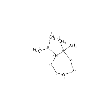 CC(C)N1CCOCCC1(C)C